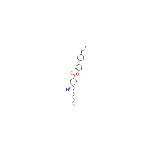 CCCCCCCC1(C#N)CCC(C(=O)Oc2ccc([C@H]3CC[C@H](CCC)CC3)cc2)CC1